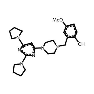 COc1ccc(O)c(CN2CCN(c3cc(N4CCCC4)nc(N4CCCC4)n3)CC2)c1